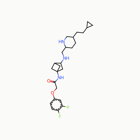 O=C(COc1ccc(F)c(F)c1)NC12CC(C1)C(NCC1CCC(CCC3CC3)CN1)C2